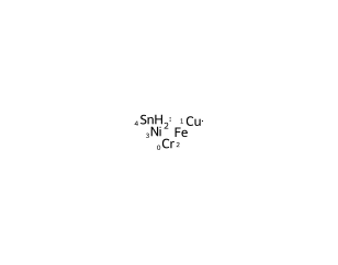 [Cr].[Cu].[Fe].[Ni].[SnH2]